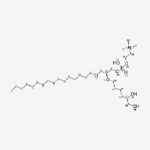 CCCCCCCCCCCCCCCCOCC(COP(=O)(O)OCC[N+](C)(C)C)OCCCCC(O)CO